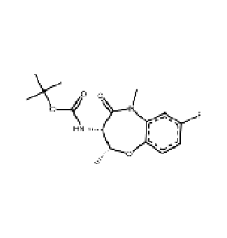 C[C@H]1Oc2ccc(F)cc2N(C)C(=O)[C@H]1NC(=O)OC(C)(C)C